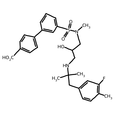 Cc1ccc(CC(C)(C)NCC(O)CN(C)S(=O)(=O)c2cccc(-c3ccc(C(=O)O)cc3)c2)cc1F